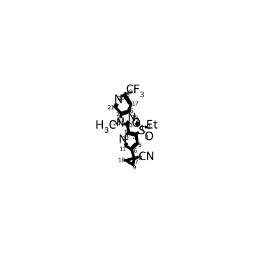 CCS(=O)(=O)c1cc(C2(C#N)CC2)cnc1-c1nc2cc(C(F)(F)F)ncc2n1C